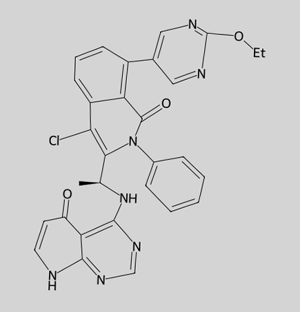 CCOc1ncc(-c2cccc3c(Cl)c([C@H](C)Nc4ncnc5[nH]ccc(=O)c45)n(-c4ccccc4)c(=O)c23)cn1